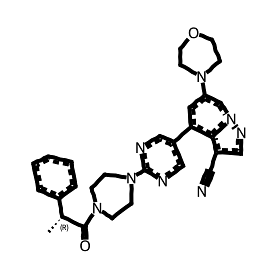 C[C@@H](C(=O)N1CCN(c2ncc(-c3cc(N4CCOCC4)cn4ncc(C#N)c34)cn2)CC1)c1ccccc1